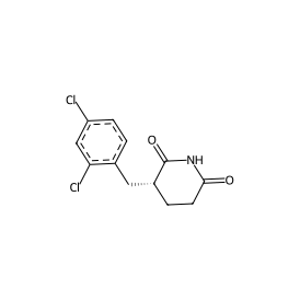 O=C1CC[C@H](Cc2ccc(Cl)cc2Cl)C(=O)N1